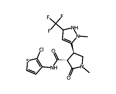 CN1C[C@H](C2=CC(C(F)(F)F)NN2C)[C@@H](C(=O)Nc2ccsc2Cl)C1=O